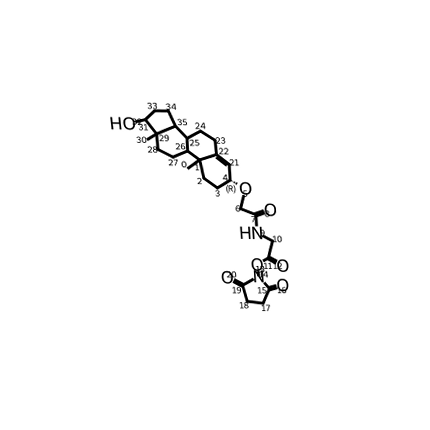 CC12CC[C@@H](OCC(=O)NCC(=O)ON3C(=O)CCC3=O)C=C1CCC1C2CCC2(C)C(O)CCC12